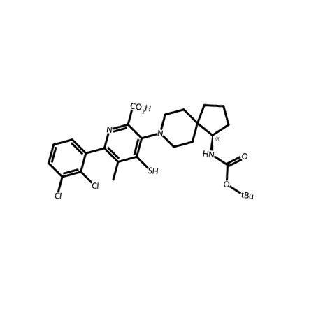 Cc1c(-c2cccc(Cl)c2Cl)nc(C(=O)O)c(N2CCC3(CCC[C@H]3NC(=O)OC(C)(C)C)CC2)c1S